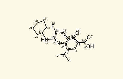 CC(C)n1cc(C(=O)O)c(=O)c2cc(F)c(NC3CCCCC3)nc21